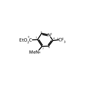 CCOC(=O)c1cnc(C(F)(F)F)cc1NC